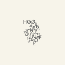 Cc1ncc(-c2cnc(OC(C)C3CCC3)c(F)c2)c(N2CCC(C)(C)CC2)c1CC(=O)O